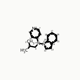 CC(C)CN(c1ccncc1)n1ccc2ccccc21